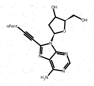 CCCCCC#Cc1nc2c(N)ncnc2n1[C@H]1CC(O)[C@@H](CO)O1